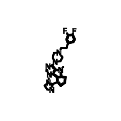 CN1CCN=C1c1cccc2c1c1ncnc(N3CCN(CCc4ccc(F)c(F)c4)CC3)c1n2C